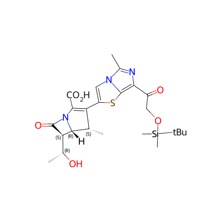 Cc1nc(C(=O)CO[Si](C)(C)C(C)(C)C)c2sc(C3=C(C(=O)O)N4C(=O)[C@H]([C@@H](C)O)[C@H]4[C@H]3C)cn12